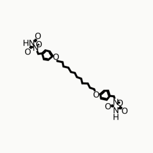 O=c1[nH]c(=O)n(Cc2ccc(OCCCCCCCCCCCCOc3ccc(Cn4oc(=O)[nH]c4=O)cc3)cc2)o1